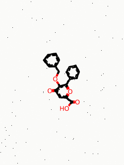 O=C(O)c1cc(=O)c(OCc2ccccc2)c(-c2ccccc2)o1